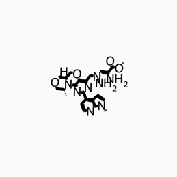 COC(=O)/C(N)=C/N(N)Cc1nc(-c2ccnc3c2ccn3C)nc2c1OC[C@@H]1COC[C@@H](C)N21